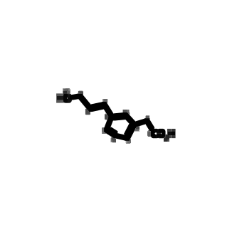 O=C(O)Cc1cccc(/C=C/CO)c1